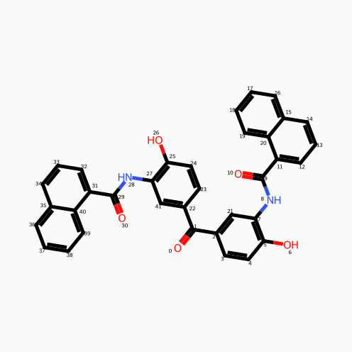 O=C(c1ccc(O)c(NC(=O)c2cccc3ccccc23)c1)c1ccc(O)c(NC(=O)c2cccc3ccccc23)c1